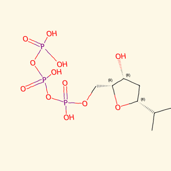 CC(C)[C@H]1C[C@@H](O)[C@@H](COP(=O)(O)OP(=O)(O)OP(=O)(O)O)O1